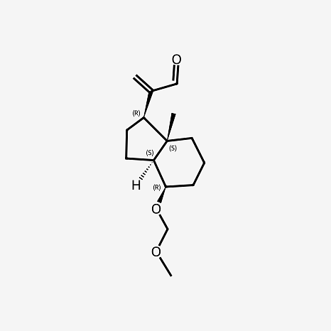 C=C(C=O)[C@@H]1CC[C@@H]2[C@H](OCOC)CCC[C@]21C